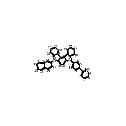 c1ccc(-c2ccc(-n3c4ccccc4c4c5c6ccccc6n(-c6ccc7ccccc7c6)c5ccc43)cc2)nc1